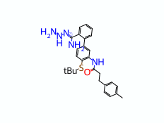 Cc1ccc(CCC(=O)Nc2cc(-c3ccccc3/C(N)=N/NN)ccc2SC(C)(C)C)cc1